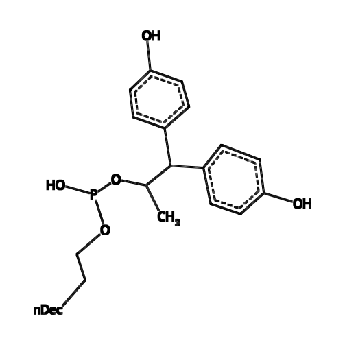 CCCCCCCCCCCCOP(O)OC(C)C(c1ccc(O)cc1)c1ccc(O)cc1